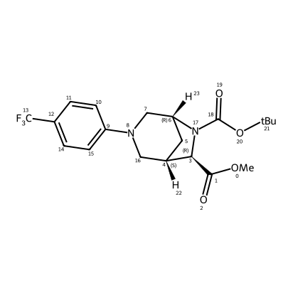 COC(=O)[C@H]1[C@H]2C[C@H](CN(c3ccc(C(F)(F)F)cc3)C2)N1C(=O)OC(C)(C)C